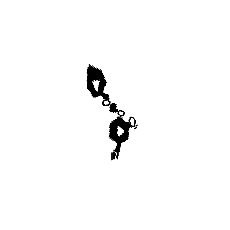 COc1cc(C#N)ccc1OCCOCc1ccccc1